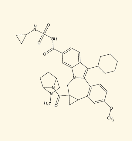 COc1ccc2c(c1)C1CC1(C(=O)N1C3CCC1N(C)C3)Cn1c-2c(C2CCCCC2)c2ccc(C(=O)NS(=O)(=O)NC3CC3)cc21